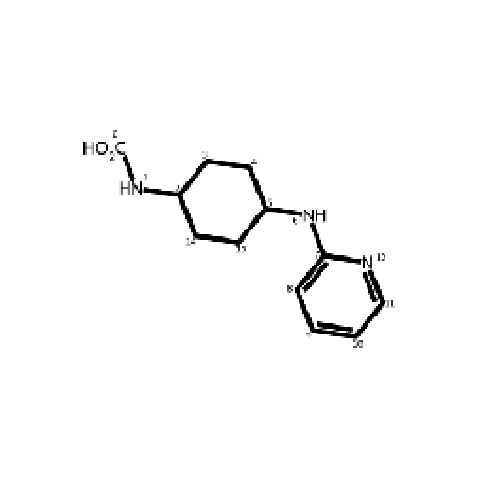 O=C(O)NC1CCC(Nc2ccccn2)CC1